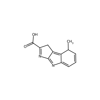 CC1C=CC=C2N=C3N=C(C(=O)O)CC3=C21